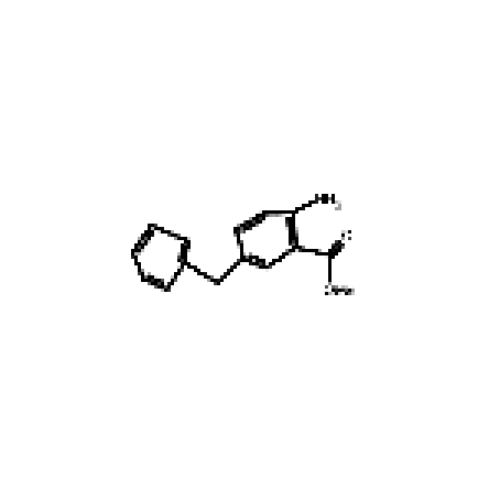 COC(=O)c1cc(Cc2ccccc2)ccc1N